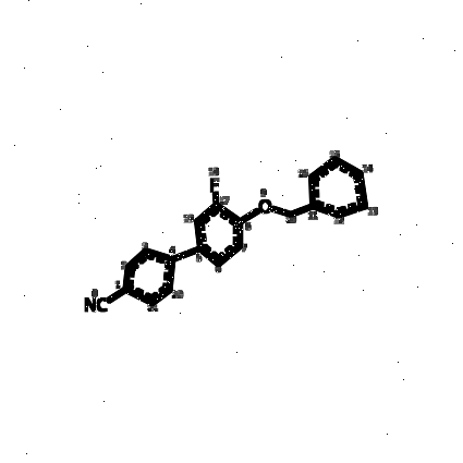 N#Cc1ccc(-c2ccc(OCc3ccccc3)c(F)c2)cc1